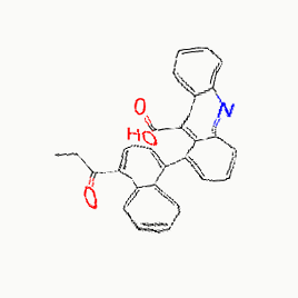 CCC(=O)c1ccc(-c2cccc3nc4ccccc4c(C(=O)O)c23)c2ccccc12